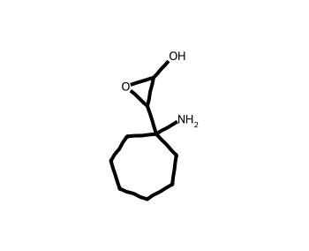 NC1(C2OC2O)CCCCCC1